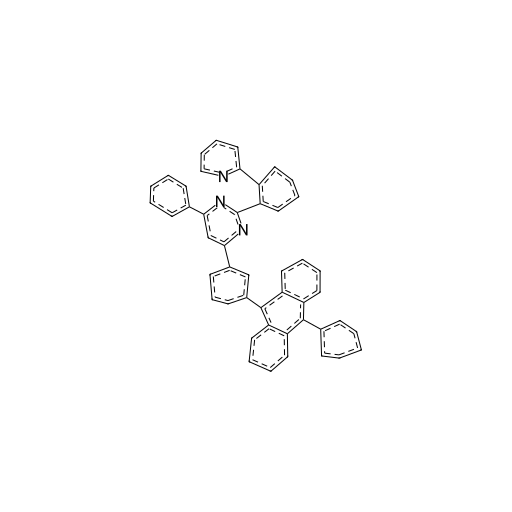 c1ccc(-c2cc(-c3cccc(-c4c5ccccc5c(-c5ccccc5)c5ccccc45)c3)nc(-c3ccccc3-c3ccccn3)n2)cc1